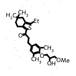 CCc1sc(C(=O)CCc2cc(C)c(OCC(O)COC)c(C)c2)c2c1CC(C)(C)CC2